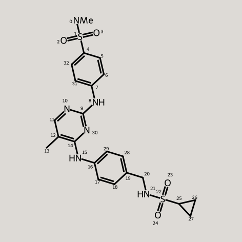 CNS(=O)(=O)c1ccc(Nc2ncc(C)c(Nc3ccc(CNS(=O)(=O)C4CC4)cc3)n2)cc1